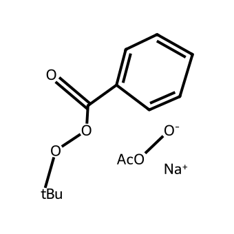 CC(=O)O[O-].CC(C)(C)OOC(=O)c1ccccc1.[Na+]